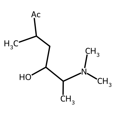 CC(=O)C(C)CC(O)C(C)N(C)C